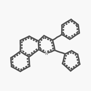 c1ccc(-c2cc3ccc4ccccc4c3nc2-c2ccccc2)cc1